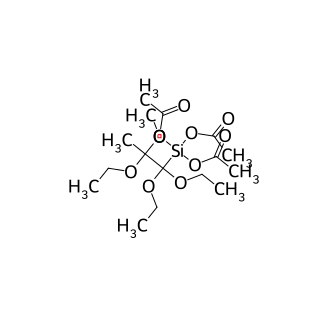 CCOC(C)(OC)C(OCC)(OCC)[Si](OC(C)=O)(OC(C)=O)OC(C)=O